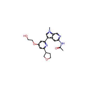 CC(=O)Nc1cc2c(-c3cc(OCCO)cc(C4CCOC4)n3)cn(C)c2cn1